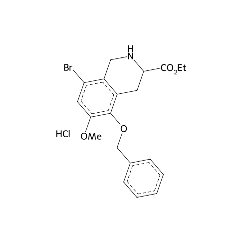 CCOC(=O)C1Cc2c(c(Br)cc(OC)c2OCc2ccccc2)CN1.Cl